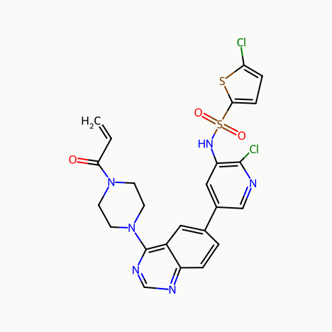 C=CC(=O)N1CCN(c2ncnc3ccc(-c4cnc(Cl)c(NS(=O)(=O)c5ccc(Cl)s5)c4)cc23)CC1